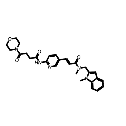 CN(Cc1cc2ccccc2n1C)C(=O)C=Cc1ccc(NC(=O)CCC(=O)N2CCOCC2)nc1